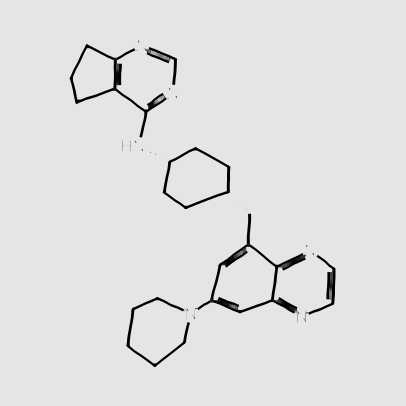 c1nc2c(c(N[C@H]3CC[C@@H](Cc4cc(N5CCCCC5)cc5nccnc45)CC3)n1)CCC2